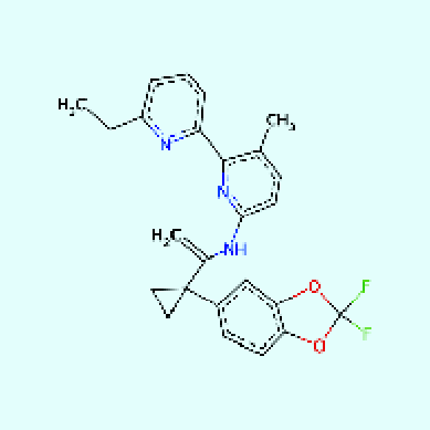 C=C(Nc1ccc(C)c(-c2cccc(CC)n2)n1)C1(c2ccc3c(c2)OC(F)(F)O3)CC1